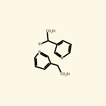 CCOC(=O)C(CC)c1cccnc1.CCOC(=O)Cc1cccnc1